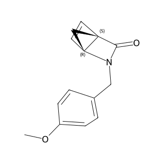 COc1ccc(CN2C(=O)[C@@]34C=C[C@@]23C4)cc1